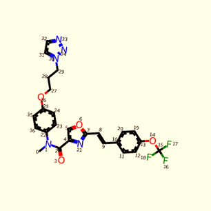 CN(C(=O)c1coc(C=Cc2ccc(OC(F)(F)F)cc2)n1)c1ccc(OCCCn2ccnn2)cc1